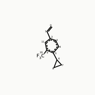 C=Cc1ccc(C2CC2)c(C(F)(F)F)c1